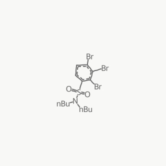 CCCCN(CCCC)S(=O)(=O)c1ccc(Br)c(Br)c1Br